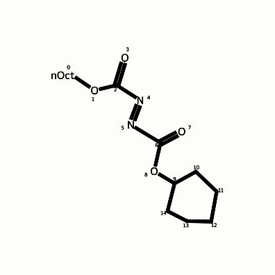 CCCCCCCCOC(=O)N=NC(=O)OC1CCCCC1